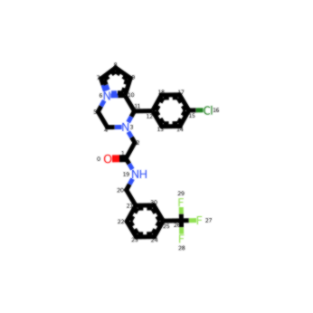 O=C(CN1CCn2cccc2C1c1ccc(Cl)cc1)NCc1cccc(C(F)(F)F)c1